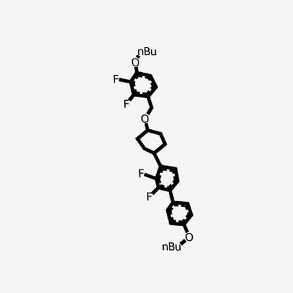 CCCCOc1ccc(-c2ccc(C3CCC(OCc4ccc(OCCCC)c(F)c4F)CC3)c(F)c2F)cc1